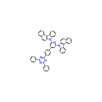 c1ccc(-c2nc(-c3ccccc3)nc(-c3ccc(-c4cc(-n5c6ccccc6c6c7ccccc7ccc65)nc(-n5c6ccccc6c6c7ccccc7ccc65)c4)cc3)n2)cc1